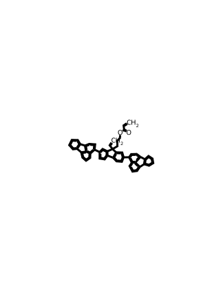 C=CC(=O)OCCCC1(C=C)c2cc(-c3ccc4c5c(cccc35)-c3ccccc3-4)ccc2-c2ccc(-c3ccc4c5c(cccc35)-c3ccccc3-4)cc21